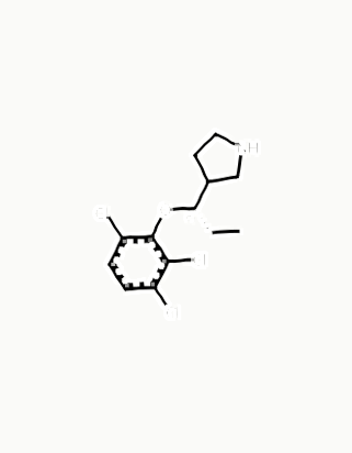 CC[C@H](Oc1c(Cl)ccc(Cl)c1Cl)C1CCNC1